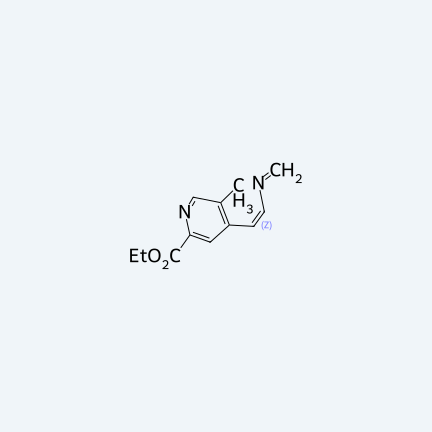 C=N/C=C\c1cc(C(=O)OCC)ncc1C